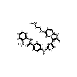 COCCOc1ccc2nc(C)c(-c3csc(Nc4ccc(C(=O)Nc5ccccc5N)cc4)n3)n2c1